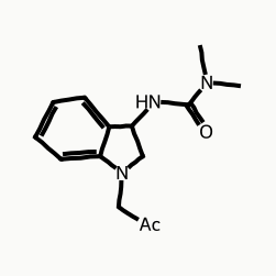 CC(=O)CN1CC(NC(=O)N(C)C)c2ccccc21